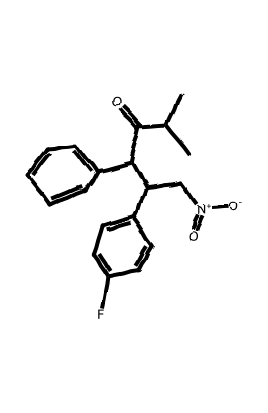 CC(C)C(=O)C(c1ccccc1)C(C[N+](=O)[O-])c1ccc(F)cc1